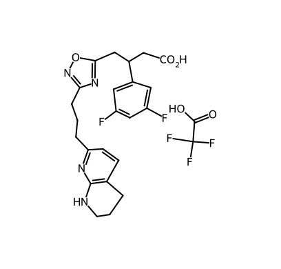 O=C(O)C(F)(F)F.O=C(O)CC(Cc1nc(CCCc2ccc3c(n2)NCCC3)no1)c1cc(F)cc(F)c1